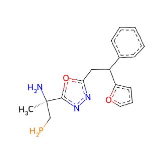 C[C@@](N)(CP)c1nnc(CC(c2ccccc2)c2ccco2)o1